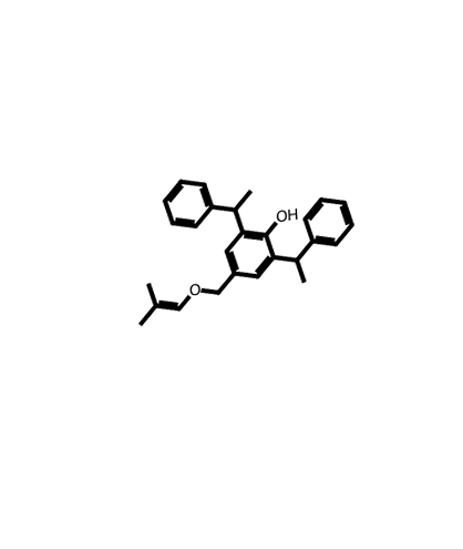 CC(C)=COCc1cc(C(C)c2ccccc2)c(O)c(C(C)c2ccccc2)c1